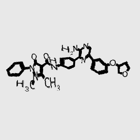 Cc1c(C(=O)Nc2ccc(-c3nc(-c4cccc(OC5CCOC5)c4)cnc3N)cc2)c(=O)n(-c2ccccc2)n1C